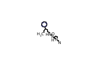 CCCC(CCCNC(=O)N[C@@H]1CCN(C#N)C1)C1=C/C=C\C=C/C=C\1